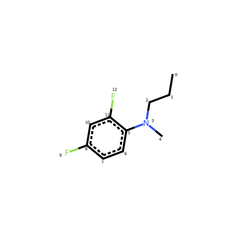 CCCN(C)c1ccc(F)cc1F